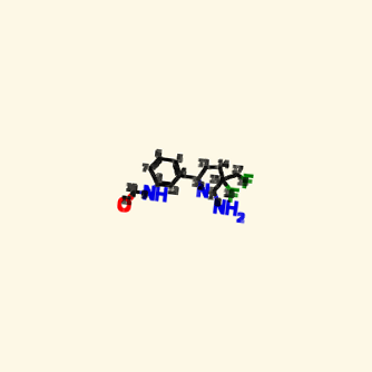 NC1=NC(c2cccc(NC=O)c2)CCC1(F)CF